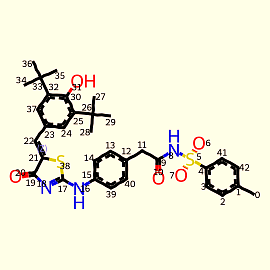 Cc1ccc(S(=O)(=O)NC(=O)Cc2ccc(NC3=NC(=O)/C(=C/c4cc(C(C)(C)C)c(O)c(C(C)(C)C)c4)S3)cc2)cc1